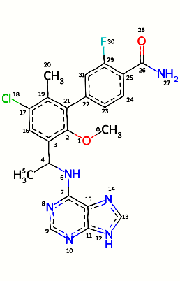 COc1c(C(C)Nc2ncnc3[nH]cnc23)cc(Cl)c(C)c1-c1ccc(C(N)=O)c(F)c1